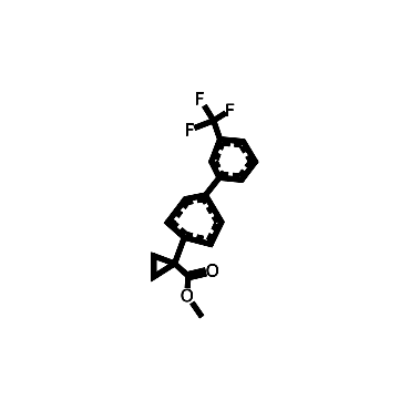 COC(=O)C1(c2ccc(-c3cccc(C(F)(F)F)c3)cc2)CC1